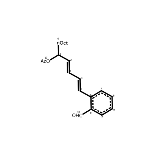 CCCCCCCCC(C=CC=Cc1ccccc1C=O)OC(C)=O